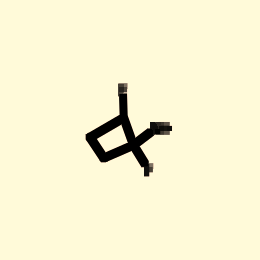 [NH]C1(F)CCC1F